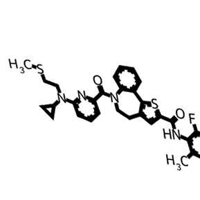 CSCCN(c1cccc(C(=O)N2CCc3cc(C(=O)Nc4c(C)cccc4F)sc3-c3ccccc32)n1)C1CC1